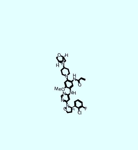 C=CC(=O)Nc1cc(Nc2cc(N3OCC[C@@H]3c3cccc(F)c3Cl)ncn2)c(OC)cc1N1CCC(N2C[C@H]3C[C@@H]2CO3)CC1